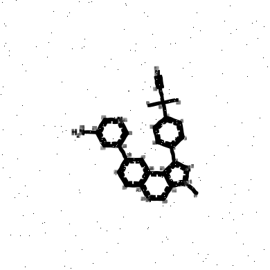 Cn1nc(-c2ccc(C(C)(C)C#N)cc2)c2c3cc(-c4cncc(N)c4)ccc3ncc21